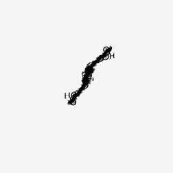 C=CC(=O)OCC(O)COCCCCOc1ccc(OC(=O)c2ccc(OCCCCOCC(O)COC(=O)C=C)cc2F)cc1